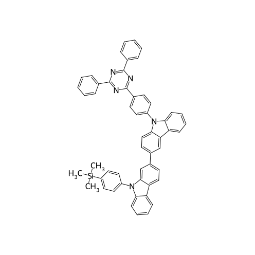 C[Si](C)(C)c1ccc(-n2c3ccccc3c3ccc(-c4ccc5c(c4)c4ccccc4n5-c4ccc(-c5nc(-c6ccccc6)nc(-c6ccccc6)n5)cc4)cc32)cc1